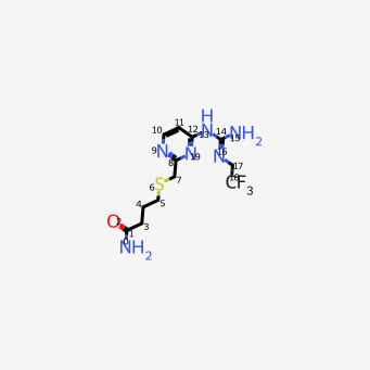 NC(=O)CCCSCc1nccc(NC(N)=NCC(F)(F)F)n1